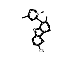 Cc1cc[n+](C)c(-c2c(C)ccc3c2oc2ccc(C#N)cc23)c1